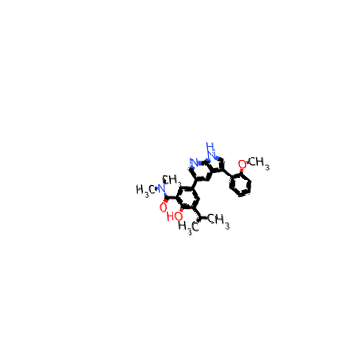 COc1ccccc1-c1c[nH]c2ncc(-c3cc(C(=O)N(C)C)c(O)c(C(C)C)c3)cc12